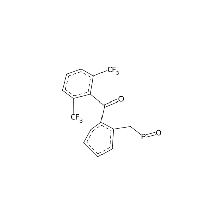 O=PCc1ccccc1C(=O)c1c(C(F)(F)F)cccc1C(F)(F)F